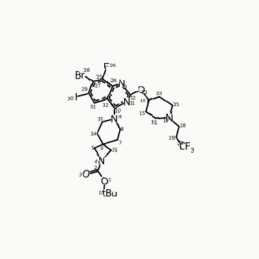 CC(C)(C)OC(=O)N1CC2(CCN(c3nc(OC4CCN(CCC(F)(F)F)CC4)nc4c(F)c(Br)c(I)cc34)CC2)C1